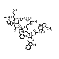 CC(=O)N[C@@H](CCS)C(=O)N[C@@H](CCC(=O)O)C(=O)N[C@@H](Cc1c[nH]cn1)C(=O)N[C@H](Cc1ccccc1)C(=O)N[C@@H](CCCNC(=N)N)C(=O)N[C@@H](Cc1c[nH]c2ccccc12)C(=O)NCC(=O)N[C@@H](CS)C(=O)N1CCC[C@H]1C